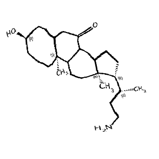 C[C@H](CCN)[C@H]1CCC2C3C(=O)CC4C[C@H](O)CC[C@]4(C)C3CC[C@@]21C